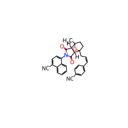 CC12CCC(C/C=C\c3ccc(C#N)cc3)(O1)[C@@H]1C(=O)N(c3ccc(C#N)c4ccccc34)C(=O)[C@@H]12